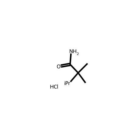 CC(C)C(C)(C)C(N)=O.Cl